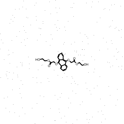 O=C(COc1c2ccccc2c(OCC(=O)OCCO)c2ccccc12)OCCO